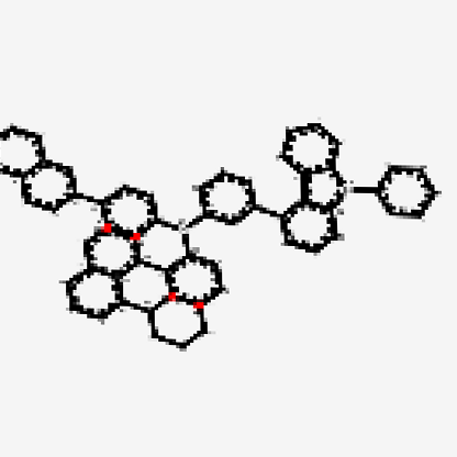 c1ccc(-n2c3ccccc3c3c(-c4cccc(N(c5ccc(-c6ccc7ccccc7c6)cc5)c5ccccc5-c5cccc6cccc(C7CCCCC7)c56)c4)cccc32)cc1